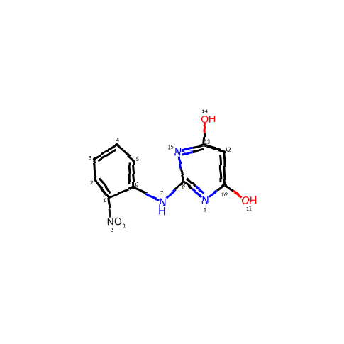 O=[N+]([O-])c1ccccc1Nc1nc(O)cc(O)n1